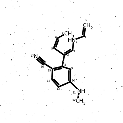 C=CN/C=C(\C=C/C)c1cc(NC)ccc1C#N